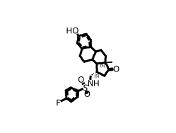 C[C@]12CCC3c4ccc(O)cc4CCC3C1[C@@H](CNS(=O)(=O)c1ccc(F)cc1)CC2=O